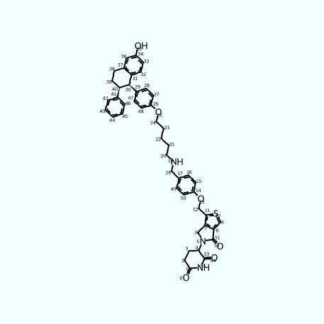 O=C1CCC(N2Cc3c(csc3COc3ccc(CNCCCCCOc4ccc([C@@H]5c6ccc(O)cc6CC[C@@H]5c5ccccc5)cc4)cc3)C2=O)C(=O)N1